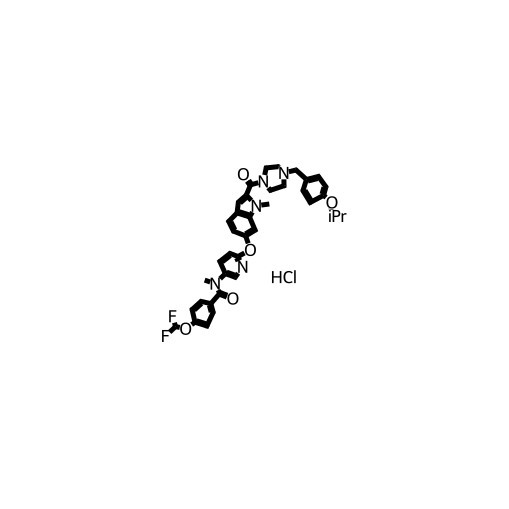 CC(C)Oc1ccc(CN2CCN(C(=O)c3cc4ccc(Oc5ccc(N(C)C(=O)c6ccc(OC(F)F)cc6)cn5)cc4n3C)CC2)cc1.Cl